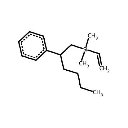 C=C[Si](C)(C)CC(CCCC)c1ccccc1